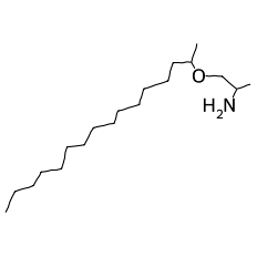 CCCCCCCCCCCCCCC(C)OCC(C)N